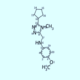 COc1ccc(NCc2nnc(C3CCCC3)n2C)cc1